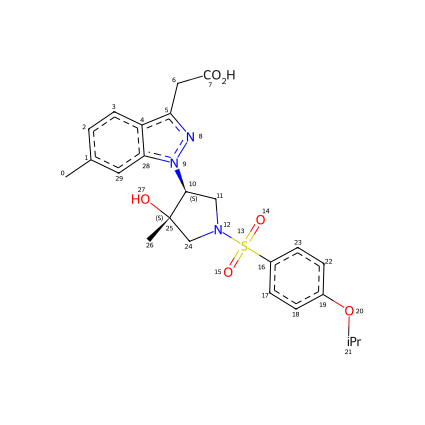 Cc1ccc2c(CC(=O)O)nn([C@H]3CN(S(=O)(=O)c4ccc(OC(C)C)cc4)C[C@]3(C)O)c2c1